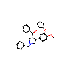 COc1ccc([C@@H]2CN(Cc3ccccc3)C[C@H]2C(=O)c2ccccc2)cc1OC1CCCC1